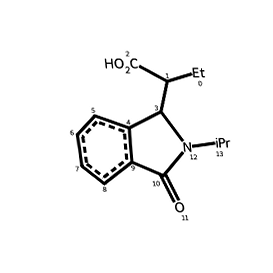 CCC(C(=O)O)C1c2ccccc2C(=O)N1C(C)C